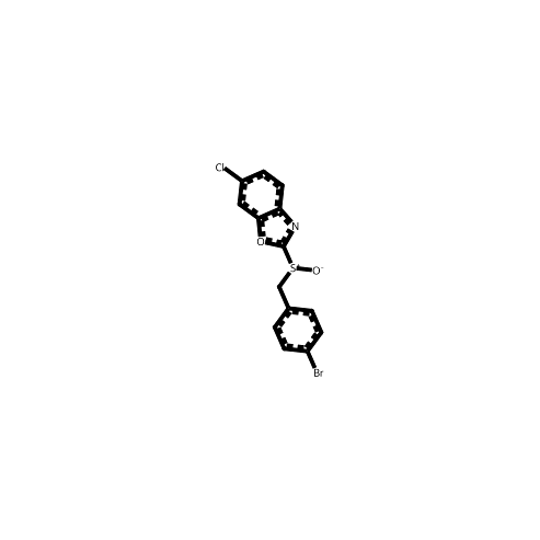 [O-][S+](Cc1ccc(Br)cc1)c1nc2ccc(Cl)cc2o1